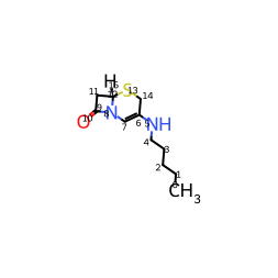 CCCCCNC1=CN2C(=O)C[C@@H]2SC1